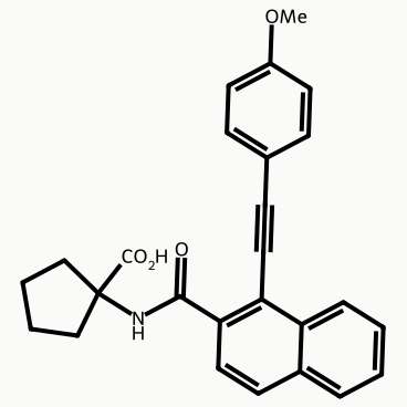 COc1ccc(C#Cc2c(C(=O)NC3(C(=O)O)CCCC3)ccc3ccccc23)cc1